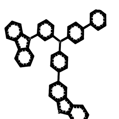 c1ccc(-c2ccc(N(c3ccc(-c4ccc5sc6ccccc6c5c4)cc3)c3cccc(-n4c5ccccc5c5ccccc54)c3)cc2)cc1